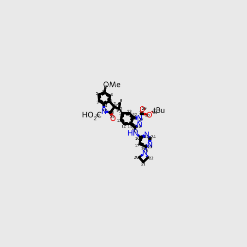 COc1ccc2c(c1)[C@]1(C[C@H]1c1ccc3c(Nc4cc(N5CCC5)ncn4)nn(C(=O)OC(C)(C)C)c3c1)C(=O)N2C(=O)O